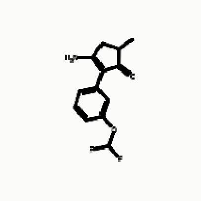 CC1CC(N)=C(c2cccc(OC(F)F)c2)C1=O